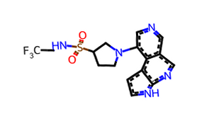 O=S(=O)(NCC(F)(F)F)C1CCN(c2cncc3cnc4[nH]ccc4c23)C1